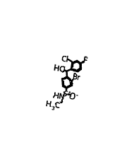 CCN[S+]([O-])c1ccc(C(O)c2ccc(F)cc2Cl)c(Br)c1